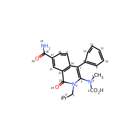 CC(C)Cn1c(N(C)C(=O)O)c(-c2ccccc2)c2ccc(C(N)=O)cc2c1=O